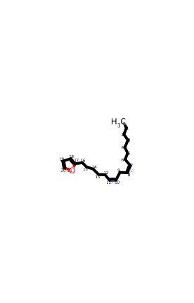 CCCCCCC/C=C\C/C=C\CCCCCc1ccco1